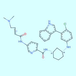 CN(C)C/C=C/C(=O)Nc1ccc(C(=O)N[C@H]2CCC[C@@H](Nc3ccc(Cl)c(-c4c[nH]c5ccccc45)c3)C2)nc1